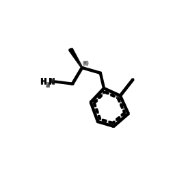 Cc1ccccc1C[C@H](C)CN